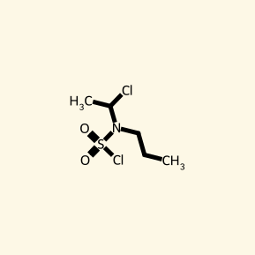 CCCN(C(C)Cl)S(=O)(=O)Cl